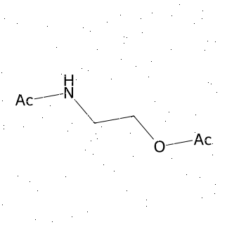 CC(=O)NCCOC(C)=O